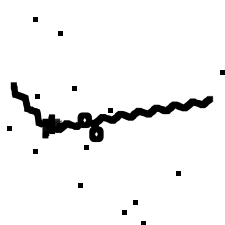 CCCCCCCCCCCCCC(=O)OCCC[N+](C)(C)CCCCCC